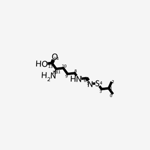 CC(C)CSN=CNCCC[C@@H](N)C(=O)O